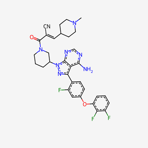 CN1CCC(C=C(C#N)C(=O)N2CCCC(n3nc(-c4ccc(Oc5cccc(F)c5F)cc4F)c4c(N)ncnc43)C2)CC1